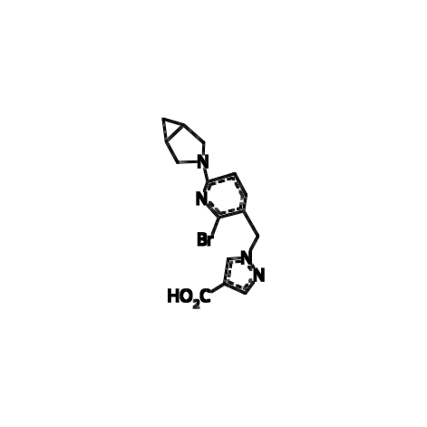 O=C(O)c1cnn(Cc2ccc(N3CC4CC4C3)nc2Br)c1